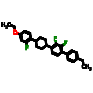 CCOc1ccc(C2CCC(c3ccc(-c4ccc(CC)cc4)c(F)c3F)CC2)c(F)c1